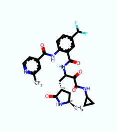 C[C@@H]1C[C@@H](CC(NC(=O)c2cc(C(F)F)ccc2NC(=O)c2ccnc(C(F)(F)F)c2)C(=O)C(=O)NC2CC2)C(=O)N1